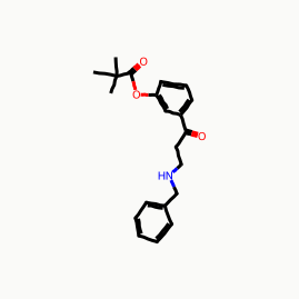 CC(C)(C)C(=O)Oc1cccc(C(=O)CCNCc2ccccc2)c1